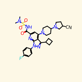 CN(C)S(=O)(=O)NC(=O)c1cc(N2CCC(N3CCC(C#N)C3)CC2)c2c(C3CCC3)nn(-c3ccc(F)cc3)c2n1